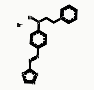 CCN(CC[n+]1ccccc1)c1ccc(N=Nc2nncs2)cc1.[Br-]